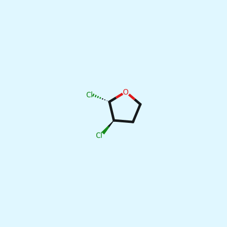 Cl[C@@H]1CCO[C@H]1Cl